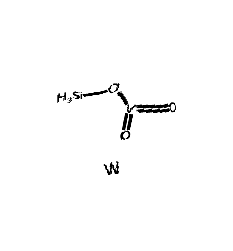 [O]=[V](=[O])[O][SiH3].[W]